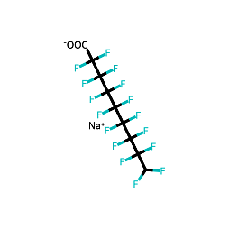 O=C([O-])C(F)(F)C(F)(F)C(F)(F)C(F)(F)C(F)(F)C(F)(F)C(F)(F)C(F)F.[Na+]